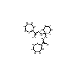 S=C(SSC1(SSC(=S)N2CCCCCC2)CCCCC1)N1CCCCCC1